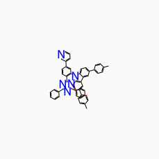 Cc1ccc(-c2ccc3c(c2)c2cc(-c4ccc(C)cc4)ccc2n3-c2cc(-c3cccnc3)ccc2-c2nc(-c3ccccc3)nc(-c3ccccc3)n2)cc1